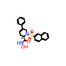 O=C(NO)[C@H]1CC=C(c2ccccc2)CN1S(=O)(=O)c1ccc2ccccc2c1